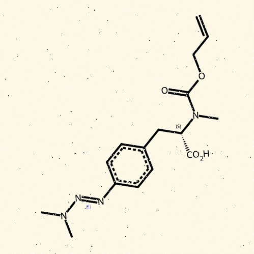 C=CCOC(=O)N(C)[C@@H](Cc1ccc(/N=N/N(C)C)cc1)C(=O)O